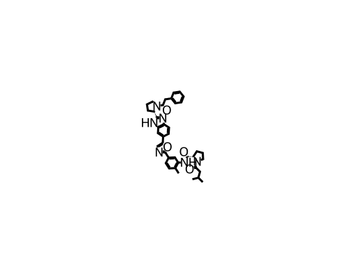 Cc1ccc(-c2ncc(-c3ccc4nc([C@@H]5CCCN5C(=O)Cc5ccccc5)[nH]c4c3)o2)cc1NC(=O)[C@@H]1CCCN1C(=O)CC(C)C